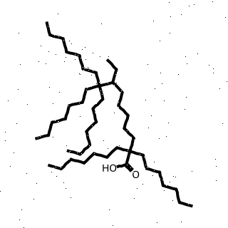 CCCCCCCC(CCCCCCC)(CCCCCC(CC)C(CCCCCCC)(CCCCCCC)CCCCCCC)C(=O)O